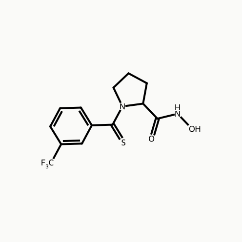 O=C(NO)C1CCCN1C(=S)c1cccc(C(F)(F)F)c1